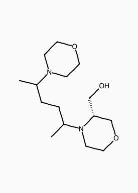 CC(CCC(C)N1CCOC[C@H]1CO)N1CCOCC1